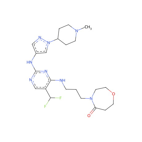 CN1CCC(n2cc(Nc3ncc(C(F)F)c(NCCCN4CCOCCC4=O)n3)cn2)CC1